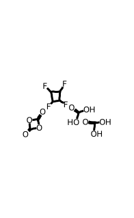 FC1C(F)C(F)C1F.O=C(O)O.O=C(O)O.O=C1OC(=O)O1